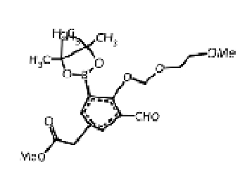 COCCOCOc1c(C=O)cc(CC(=O)OC)cc1B1OC(C)(C)C(C)(C)O1